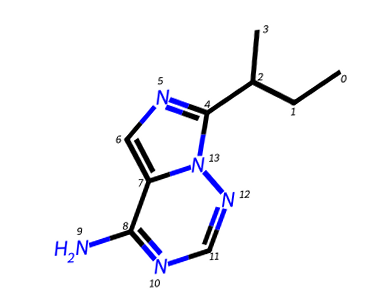 CCC(C)c1ncc2c(N)ncnn12